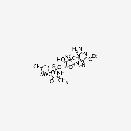 CCOc1nc(N)nc2c1ncn2[C@@H]1O[C@H](COP(=O)(N[C@@H](C)C(=O)OC)Oc2ccc(Cl)cc2)[C@@H](O)[C@@]1(C)C#N